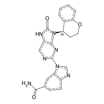 NC(=O)c1ccc2ncn(-c3ncc4[nH]c(=O)n([C@@H]5CCOc6ccccc65)c4n3)c2c1